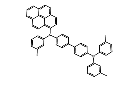 Cc1cccc(N(c2ccc(-c3ccc(N(c4cccc(C)c4)c4ccc5ccc6cccc7ccc4c5c67)cc3)cc2)c2cccc(C)c2)c1